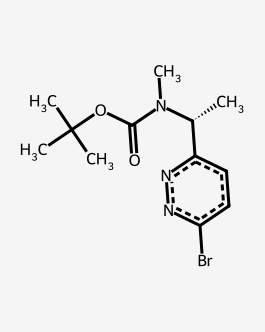 C[C@H](c1ccc(Br)nn1)N(C)C(=O)OC(C)(C)C